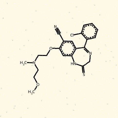 COCCN(C)CCOc1cc2c(cc1C#N)C(c1ccccc1Cl)=NCC(=S)N2